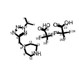 CC(C)n1nnc(CN2CCNCC2)n1.O=C(O)C(F)(F)F.O=C(O)C(F)(F)F